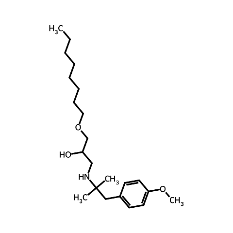 CCCCCCCCOCC(O)CNC(C)(C)Cc1ccc(OC)cc1